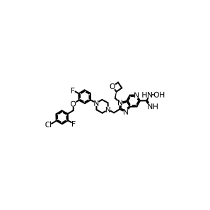 N=C(NO)c1cc2nc(CN3CCN(c4ccc(F)c(OCc5ccc(Cl)cc5F)c4)CC3)n(C[C@@H]3CCO3)c2cn1